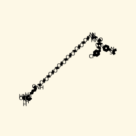 Cc1nc(C2CCC(N3C[C@H](C(=O)NCc4cn(CCOCCOCCOCCOCCOCCOCCOCCOCCOCCOCCOCCNC(=O)CCCC[C@@H]5SC[C@@H]6NC(=O)N[C@@H]65)nn4)OC[C@@H]3Cc3ccc(Cl)cc3)CC2)sc1C